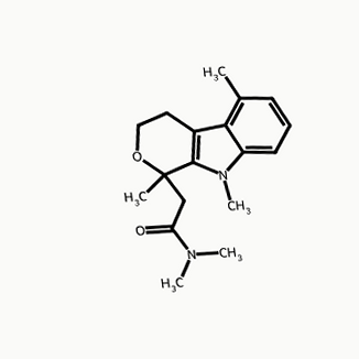 Cc1cccc2c1c1c(n2C)C(C)(CC(=O)N(C)C)OCC1